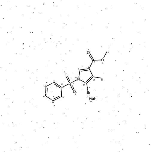 COC(=O)c1cn(S(=O)(=O)c2ccccc2)c(Br)c1C.[NaH]